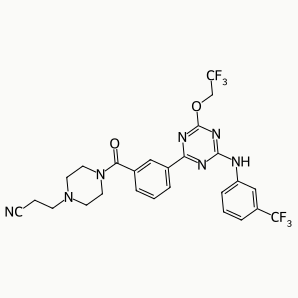 N#CCCN1CCN(C(=O)c2cccc(-c3nc(Nc4cccc(C(F)(F)F)c4)nc(OCC(F)(F)F)n3)c2)CC1